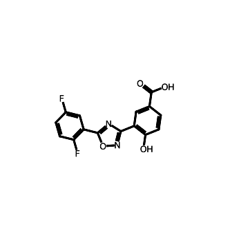 O=C(O)c1ccc(O)c(-c2noc(-c3cc(F)ccc3F)n2)c1